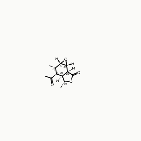 CC(=O)[C@H]1[C@H](C)[C@@H]2O[C@@H]2[C@H]2C(=O)O[C@H](C)[C@H]21